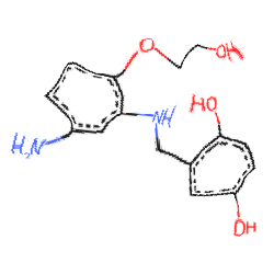 Nc1ccc(OCCO)c(NCc2cc(O)ccc2O)c1